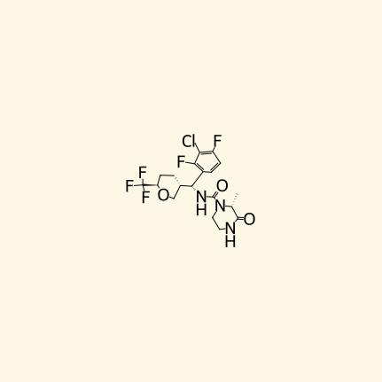 C[C@@H]1C(=O)NCCN1C(=O)N[C@@H](c1ccc(F)c(Cl)c1F)[C@H]1CC[C@H](C(F)(F)F)OC1